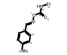 CCCCc1ccc(/C=N/OC(=O)NCC)cc1